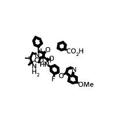 COc1ccc2c(Oc3ccc(NC(=O)c4c(C)n(C[C@H](C)[C@](C)(N)C(=O)O)n(-c5ccccc5)c4=O)cc3F)ccnc2c1.O=C(O)c1ccccc1